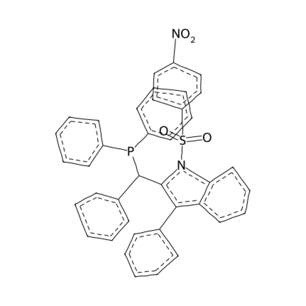 O=[N+]([O-])c1ccc(S(=O)(=O)n2c(C(c3ccccc3)P(c3ccccc3)c3ccccc3)c(-c3ccccc3)c3ccccc32)cc1